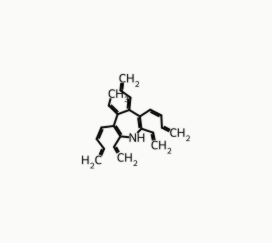 C=C/C=C\C1=C(C=C)NC(C=C)=C(/C=C\C=C)C(=C/C=C)/C1=C\C